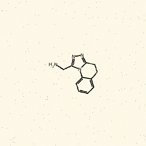 NCc1nnc2n1-c1ccccc1CC2